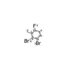 Cc1c(F)ccc(Br)c1Br